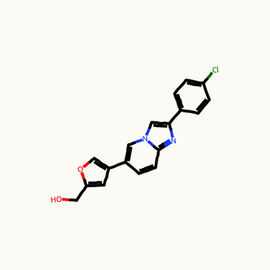 OCc1cc(-c2ccc3nc(-c4ccc(Cl)cc4)cn3c2)co1